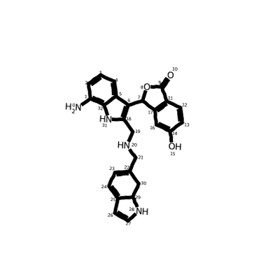 Nc1cccc2c(C3OC(=O)c4ccc(O)cc43)c(CNCC3=CC=C4C=CNC4C3)[nH]c12